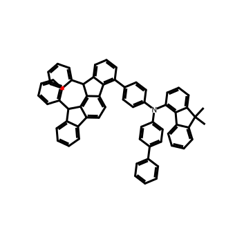 CC1(C)c2ccccc2-c2c(N(c3ccc(-c4ccccc4)cc3)c3ccc(-c4cccc5c4-c4ccc6c(c4C5c4ccccc4)C(c4ccccc4)c4ccccc4-6)cc3)cccc21